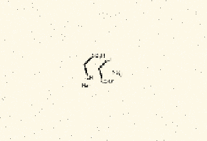 N#CCC(=O)O.O=C([O-])CCl.[Cl-].[Na+].[Na+]